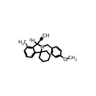 [2H]C1(C#C)c2c(C)cccc2C2(CCCCC2)N1Cc1ccc(OC)cc1